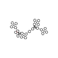 c1ccc(-c2ccccc2N(c2ccc(-c3ccc4c(c3)-c3ccccc3C4(c3ccccc3)c3ccccc3)cc2)c2ccc3c(c2)C2(c4ccccc4-c4ccccc42)c2ccc(-c4ccc(-c5ccc(N(c6ccc(-c7ccc8c(c7)-c7ccccc7C8(c7ccccc7)c7ccccc7)cc6)c6ccc7c(c6)C6(c8ccccc8-c8ccccc86)c6ccccc6-7)cc5)cc4)cc2-3)cc1